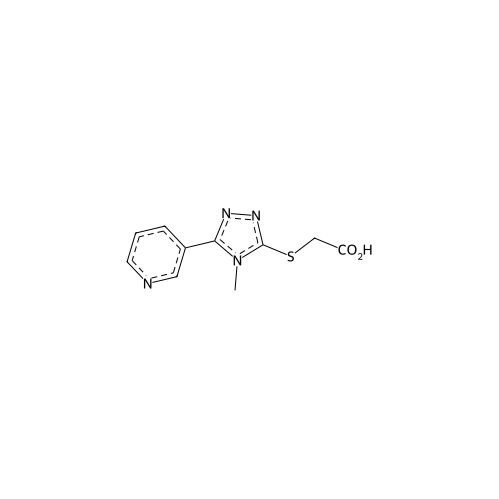 Cn1c(SCC(=O)O)nnc1-c1cccnc1